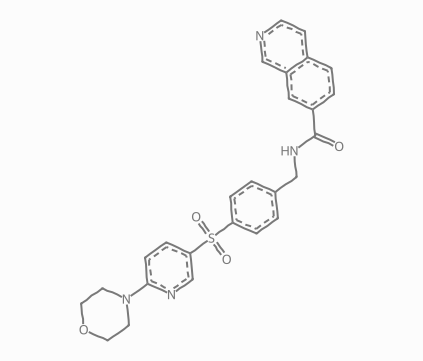 O=C(NCc1ccc(S(=O)(=O)c2ccc(N3CCOCC3)nc2)cc1)c1ccc2ccncc2c1